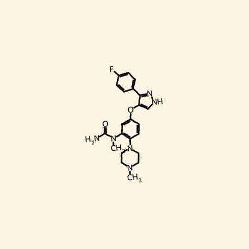 CN1CCN(c2ccc(Oc3c[nH]nc3-c3ccc(F)cc3)cc2N(C)C(N)=O)CC1